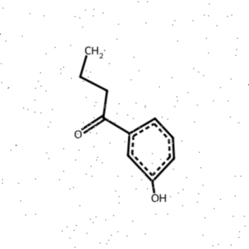 [CH2]CCC(=O)c1cccc(O)c1